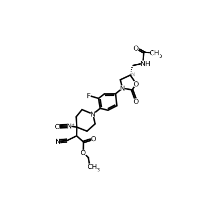 [C-]#[N+]C1(C(C#N)C(=O)OCC)CCN(c2ccc(N3C[C@H](CNC(C)=O)OC3=O)cc2F)CC1